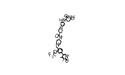 Cc1c(-c2ccc(CN3CCC(N(C)C(=O)C4CCN(c5ccc(NC6CCC(=O)NC6=O)cc5)CC4)CC3)c(OC(F)(F)F)c2)cn(C)c(=O)c1C